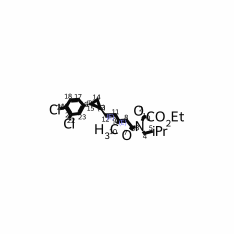 CCOC(=O)C(=O)N(CC(C)C)C(=O)/C=C(C)/C=C/[C@@H]1C[C@H]1c1ccc(Cl)c(Cl)c1